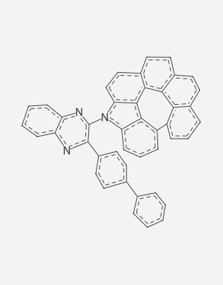 c1ccc(-c2ccc(-c3nc4ccccc4nc3-n3c4cccc5c4c4c6c(ccc7ccc8cccc-5c8c76)ccc43)cc2)cc1